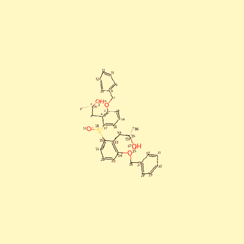 C[C@H](O)Cc1c(OCc2ccccc2)cccc1[S+]([O-])c1cccc(OCc2ccccc2)c1C[C@H](C)O